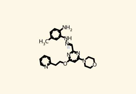 Cc1ccc(N)c(N/N=C/c2nc(OCCc3ccccn3)cc(N3CCOCC3)n2)c1